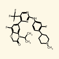 CC(C)N1C(=O)COc2c(F)cc(-c3nc(Nc4ccc(C5CCN(C)CC5)c(F)c4)ncc3C(F)(F)F)cc21